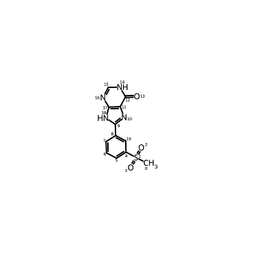 CS(=O)(=O)c1cccc(-c2nc3c(=O)[nH]cnc3[nH]2)c1